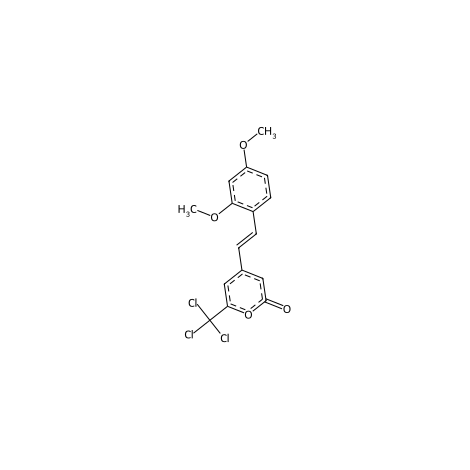 COc1ccc(/C=C/c2cc(C(Cl)(Cl)Cl)oc(=O)c2)c(OC)c1